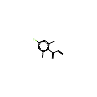 C=CC(=C)c1c(C)cc(F)cc1C